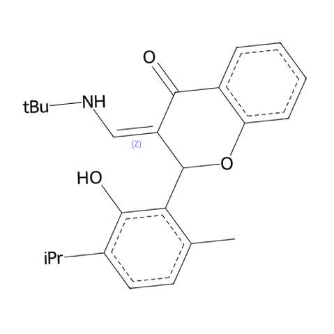 Cc1ccc(C(C)C)c(O)c1C1Oc2ccccc2C(=O)/C1=C\NC(C)(C)C